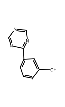 Oc1[c]ccc(-c2ncncn2)c1